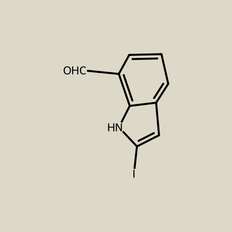 O=Cc1cccc2cc(I)[nH]c12